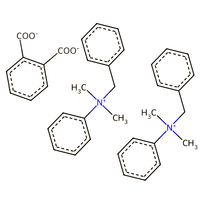 C[N+](C)(Cc1ccccc1)c1ccccc1.C[N+](C)(Cc1ccccc1)c1ccccc1.O=C([O-])c1ccccc1C(=O)[O-]